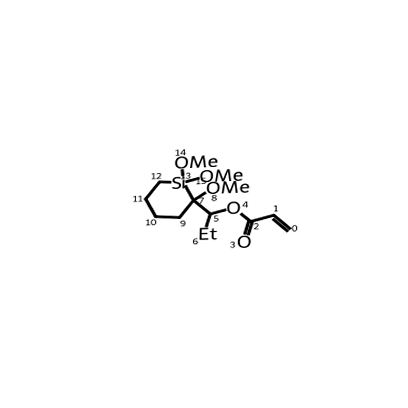 C=CC(=O)OC(CC)C1(OC)CCCC[Si]1(OC)OC